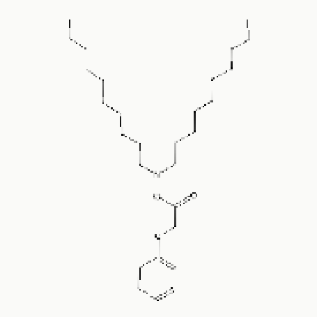 CCCCCCCCCCN(CCCCCCCCCC)OC(=O)COc1ccccc1